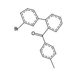 Cc1ccc(C(=O)c2ccccc2-c2cccc(Br)c2)cc1